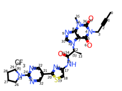 CC#CCn1c(=O)c2c(ncn2[C@@H](C)C(=O)Nc2csc(-c3cnc(N4CCC[C@@H]4C(F)(F)F)nc3)n2)n(C)c1=O